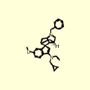 CCN(CC1CC1)C1=CC2(c3cc(OC)ccc31)C1CC3C2[C@H](C1)CN3Cc1ccccc1